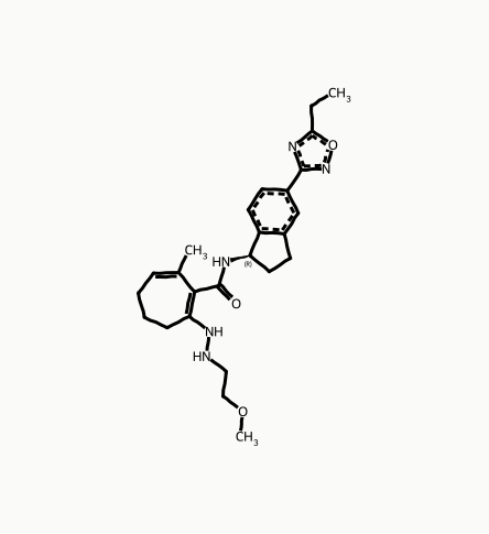 CCc1nc(-c2ccc3c(c2)CC[C@H]3NC(=O)C2=C(NNCCOC)CCCC=C2C)no1